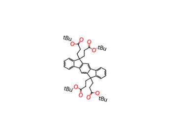 CC(C)(C)OC(=O)CCC1(CCC(=O)OC(C)(C)C)c2ccccc2-c2cc3c(cc21)-c1ccccc1C3(CCC(=O)OC(C)(C)C)CCC(=O)OC(C)(C)C